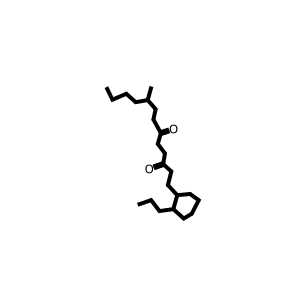 CCCCC(C)CCC(=O)CCC(=O)CCC1CCCCC1CCC